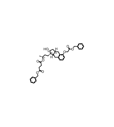 C[C@@H](CC[C@@H]1[C@H]2Cc3cccc(OCC(=O)OCc4ccccc4)c3C[C@H]2C[C@H]1O)OC(=O)CCC(=O)OCc1ccccc1